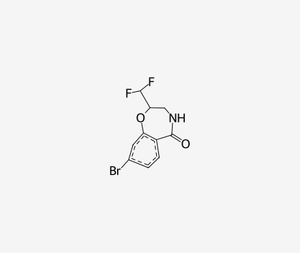 O=C1NCC(C(F)F)Oc2cc(Br)ccc21